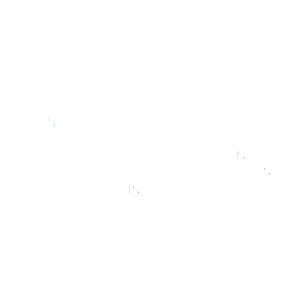 c1cncc(CNc2ccc3cnn(C4CCCC4)c3c2)c1